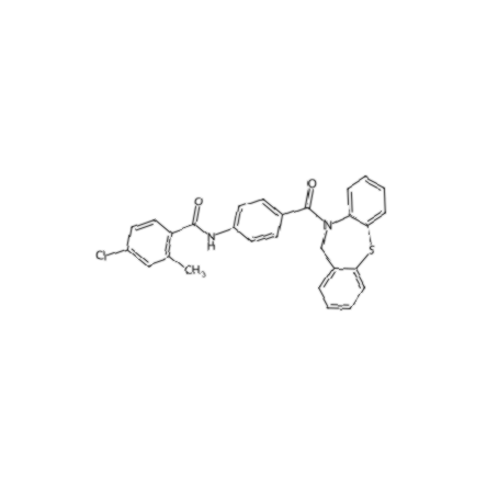 Cc1cc(Cl)ccc1C(=O)Nc1ccc(C(=O)N2Cc3ccccc3Sc3ccccc32)cc1